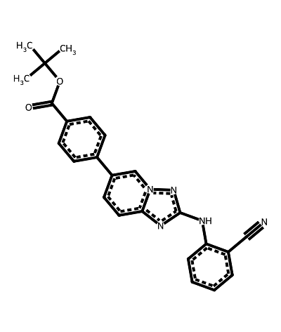 CC(C)(C)OC(=O)c1ccc(-c2ccc3nc(Nc4ccccc4C#N)nn3c2)cc1